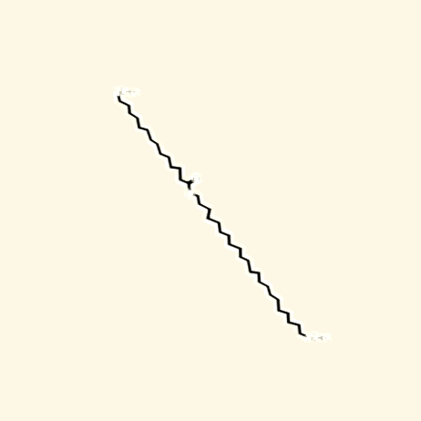 CCCCCCCCCCCCCCCCCCCCCCCCCCCCCCCCOC(=O)CCCCCCCCCCCCCCCCCCCCCCC